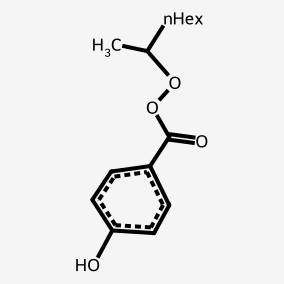 CCCCCCC(C)OOC(=O)c1ccc(O)cc1